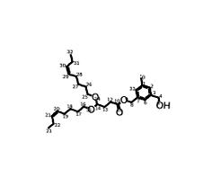 [CH2]c1cc(CO)cc(COC(=O)CCC(OCCCC/C=C\CC)OCCCC/C=C\CC)c1